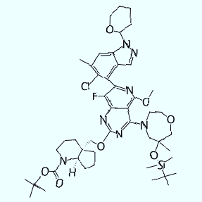 COc1nc(-c2c(Cl)c(C)cc3c2cnn3C2CCCCO2)c(F)c2nc(OC[C@]34CCC[C@H]3N(C(=O)OC(C)(C)C)CCC4)nc(N3CCOCC(C)(O[Si](C)(C)C(C)(C)C)C3)c12